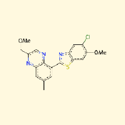 COCc1cnc2c(-c3nc4cc(Cl)c(OC)cc4s3)cc(C)cc2n1